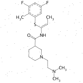 CC=C(NC(=O)C1CCCN(CCN(C)C)C1)Sc1cc(F)cc(F)c1C